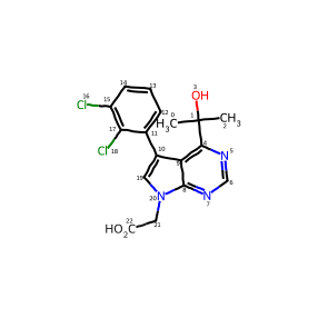 CC(C)(O)c1ncnc2c1c(-c1cccc(Cl)c1Cl)cn2CC(=O)O